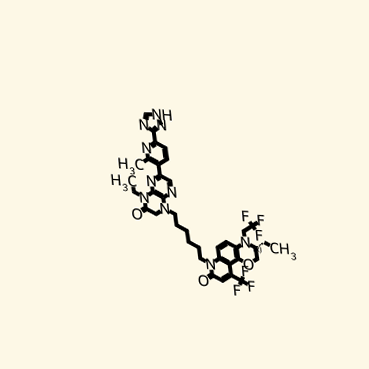 CC[C@@H]1COc2c(ccc3c2c(C(F)(F)F)cc(=O)n3CCCCCCN2CC(=O)N(CC)c3nc(-c4ccc(-c5nc[nH]n5)nc4C)cnc32)N1CC(F)(F)F